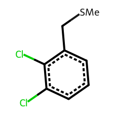 CSCc1cccc(Cl)c1Cl